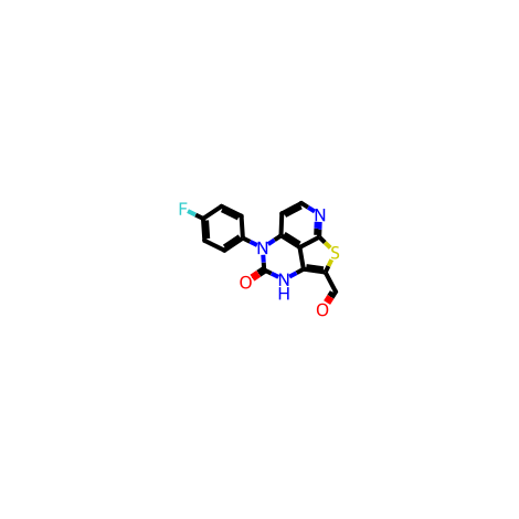 O=Cc1sc2nccc3c2c1NC(=O)N3c1ccc(F)cc1